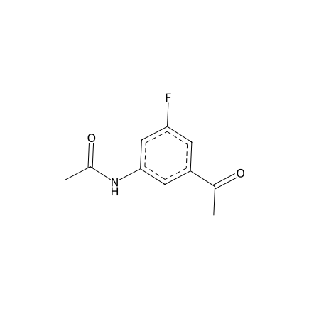 CC(=O)Nc1cc(F)cc(C(C)=O)c1